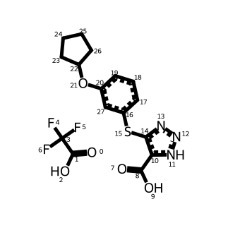 O=C(O)C(F)(F)F.O=C(O)c1[nH]nnc1Sc1cccc(OC2CCCC2)c1